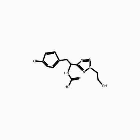 O=C(O)NC(Cc1ccc(Cl)cc1)c1nnn(CCO)n1